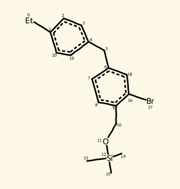 CCc1ccc(Cc2ccc(CO[Si](C)(C)C)c(Br)c2)cc1